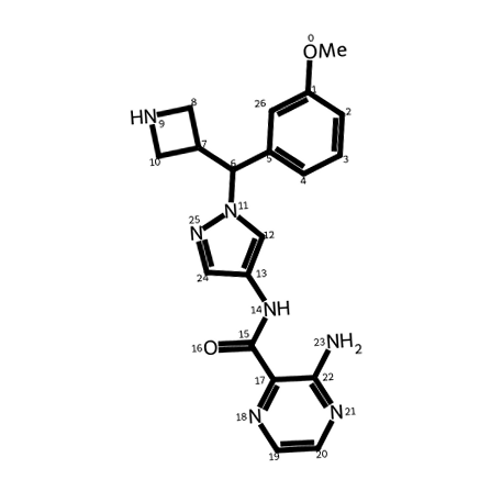 COc1cccc(C(C2CNC2)n2cc(NC(=O)c3nccnc3N)cn2)c1